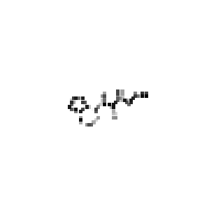 CCCCONC(=O)NC1CCCc2sccc21